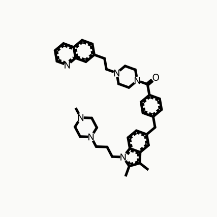 Cc1c(C)n(CCCN2CCN(C)CC2)c2ccc(Cc3ccc(C(=O)N4CCN(CCc5ccc6cccnc6c5)CC4)cc3)cc12